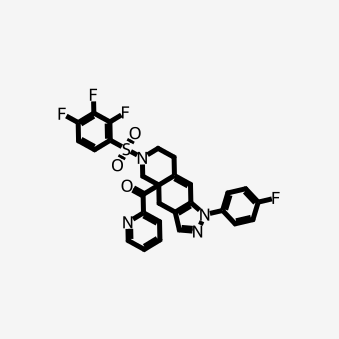 O=C(c1ccccn1)C12Cc3cnn(-c4ccc(F)cc4)c3C=C1CCN(S(=O)(=O)c1ccc(F)c(F)c1F)C2